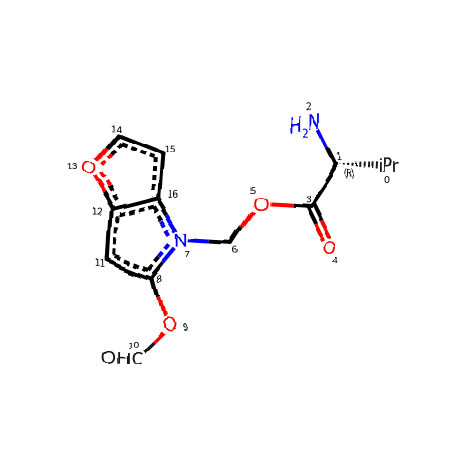 CC(C)[C@@H](N)C(=O)OCn1c(OC=O)cc2occc21